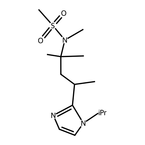 CC(CC(C)(C)N(C)S(C)(=O)=O)c1nccn1C(C)C